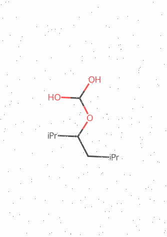 CC(C)CC(OC(O)O)C(C)C